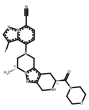 C[C@@H]1CN(c2ccc(C#N)n3ncc(F)c23)Cc2c3c(nn21)CN[C@H](C(=O)N1CCOCC1)C3